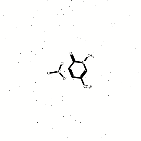 Cn1cc(C(=O)O)ccc1=O.[O-][S+](Cl)Cl